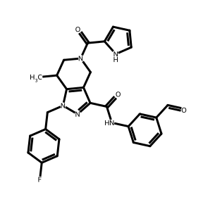 CC1CN(C(=O)c2ccc[nH]2)Cc2c(C(=O)Nc3cccc(C=O)c3)nn(Cc3ccc(F)cc3)c21